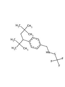 CC(C)(C)CC(c1ccc(CNSC(F)(F)F)cc1)C(C)(C)C